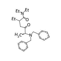 CCC(CC(=O)[C@H](C)N(Cc1ccccc1)Cc1ccccc1)C(=O)N(CC)CC